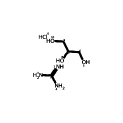 Cl.N=C(N)N.OCC(O)CO